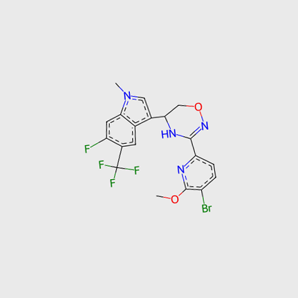 COc1nc(C2=NOCC(c3cn(C)c4cc(F)c(C(F)(F)F)cc34)N2)ccc1Br